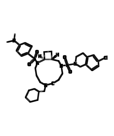 CN(C)c1ccc(S(=O)(=O)N2CCCN(CC3CCCCC3)CCCN(S(=O)(=O)N3CCc4cc(Cl)ccc4C3)C[C@H]3CC[C@@H]32)cc1